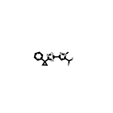 Cn1nc(-c2nc(C3(c4ccccc4)CC3)no2)cc1C(F)F